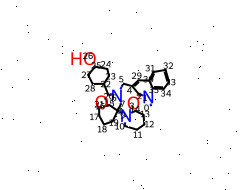 Cn1c(=O)c(CN(CC2(N3CCCCC3)CCCCC2)C(=O)C2CCC(O)CC2)cc2ccccc21